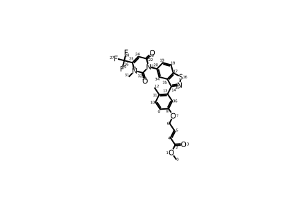 COC(=O)C=CCOc1ccc(C)c(-c2nsc3ccc(-n4c(=O)cc(C(F)(F)F)n(C)c4=O)cc23)c1